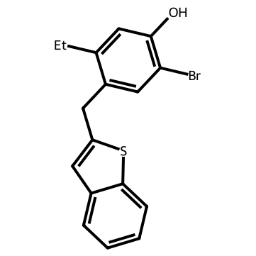 CCc1cc(O)c(Br)cc1Cc1cc2ccccc2s1